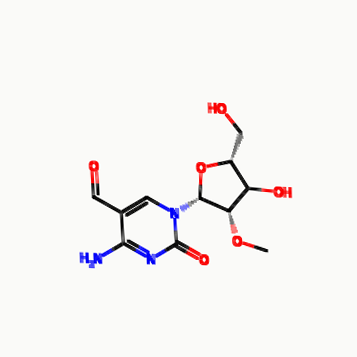 CO[C@H]1C(O)[C@@H](CO)O[C@H]1n1cc(C=O)c(N)nc1=O